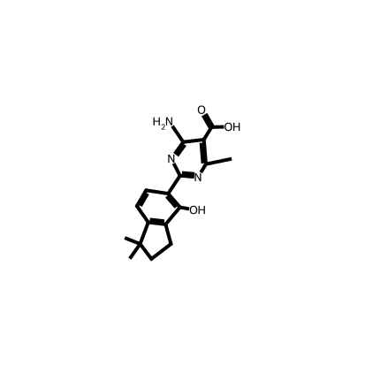 Cc1nc(-c2ccc3c(c2O)CCC3(C)C)nc(N)c1C(=O)O